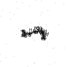 C[C@H]1Oc2ccc(F)cc2N(CCOC(=O)NCCNC(=O)CC[C@H](NC(=O)OC(C)(C)C)C(=O)OC(C)(C)C)C(=O)[C@H]1NC(=O)[C@@](C)(O)C(=O)NCC(F)(F)C(F)(F)F